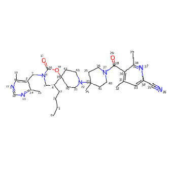 CCCCC1CN(Cc2c(C)ncnc2C)C(=O)OC12CCN(C1(C)CCN(C(=O)c3c(C)cc(C#N)nc3C)CC1)CC2